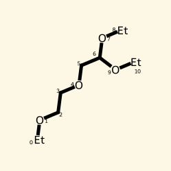 [CH2]COCCOCC(OCC)OCC